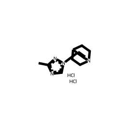 Cc1ncn(C2=CN3CCC2CC3)n1.Cl.Cl